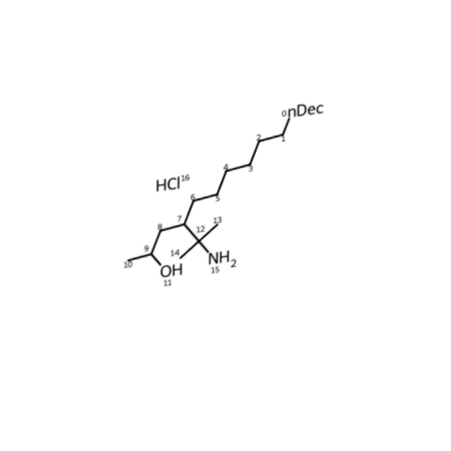 CCCCCCCCCCCCCCCCC(CC(C)O)C(C)(C)N.Cl